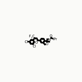 CC(C)C(=O)N1CC2(C1)OCc1cc(C(=O)/C=C(\c3cc(Cl)cc(Cl)c3)C(F)(F)F)ccc12